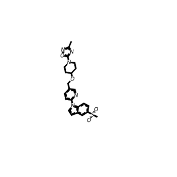 Cc1noc(N2CCC(OCc3ccc(-n4ccc5cc(S(C)(=O)=O)ccc54)nc3)CC2)n1